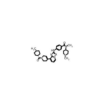 CN1CCC(N(C)C(=O)c2ccc(Nc3nc4c(C5=CCN(C(=O)[C@H]6CC[C@H](C)CC6)CC5)cccn4n3)cc2)CC1